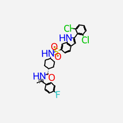 C[C@@H](NC(=O)[C@H]1CC[C@H](NS(=O)(=O)c2ccc3cc(-c4c(Cl)cccc4Cl)[nH]c3c2)CC1)c1ccc(F)cc1